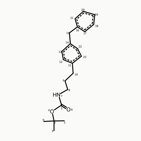 CC(C)(C)OC(=O)NCCCc1ccc(Cc2ccccc2)cc1